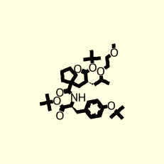 COCCOC(C)C[C@H](CC1(C(=O)N[C@@H](Cc2ccc(OC(C)(C)C)cc2)C(=O)OC(C)(C)C)CCCC1)C(=O)OC(C)(C)C